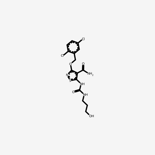 NC(=O)c1c(OCc2cc(Cl)ccc2Cl)nsc1NC(=O)NCCCO